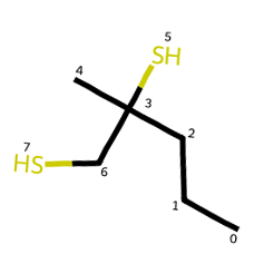 CCCC(C)(S)CS